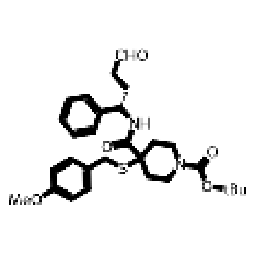 COc1ccc(CSC2(C(=O)N[C@@H](CCC=O)c3ccccc3)CCN(C(=O)OC(C)(C)C)CC2)cc1